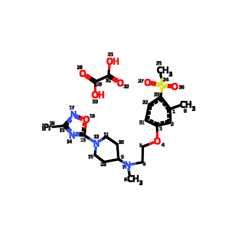 Cc1cc(OCCN(C)C2CCN(c3nc(C(C)C)no3)CC2)ccc1S(C)(=O)=O.O=C(O)C(=O)O